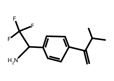 C=C(c1ccc(C(N)C(F)(F)F)cc1)C(C)C